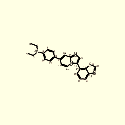 CCN(CC)c1ccc(-c2ccn3c(-c4cccc5ncsc45)cnc3c2)cc1